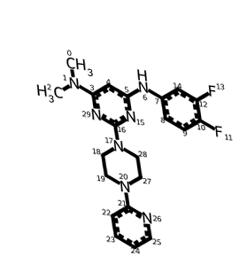 CN(C)c1cc(Nc2ccc(F)c(F)c2)nc(N2CCN(c3ccccn3)CC2)n1